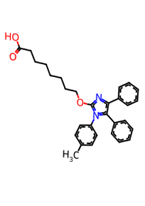 Cc1ccc(-n2c(OCCCCCCCC(=O)O)nc(-c3ccccc3)c2-c2ccccc2)cc1